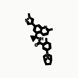 Cc1ccc2c(C3(NC(=O)c4cc(N5CC6CCC(C5)N6C)ccc4C)CC3)cc(-c3cnn(C)c3)cc2n1